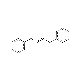 [CH](/C=C/Cc1ccccc1)c1ccccc1